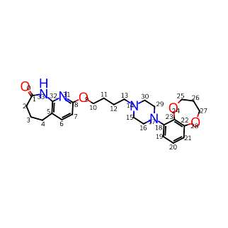 O=C1CCCc2ccc(OCCCCN3CCN(c4cccc5c4OCCCO5)CC3)nc2N1